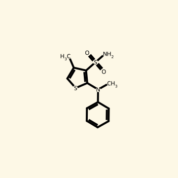 Cc1csc(N(C)c2ccccc2)c1S(N)(=O)=O